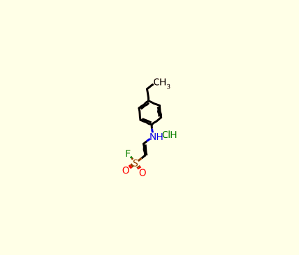 CCc1ccc(NC=CS(=O)(=O)F)cc1.Cl